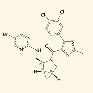 Cc1nc(C(=O)N2C[C@@H]3C[C@@H]3[C@H]2CNc2ncc(Br)cn2)c(-c2ccc(Cl)c(Cl)c2)s1